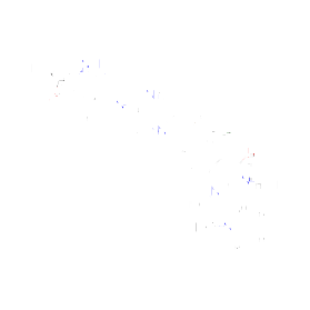 C=Nc1ccc(Sc2cnc(N3CCC4(CC3)CO[C@@H](C)[C@H]4N)cn2)c(Cl)c1C(=O)N(C)CC1CCCN1C